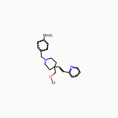 CCOCC1(C=Cc2ccccn2)CCN(Cc2ccc(NC(C)=O)cc2)CC1